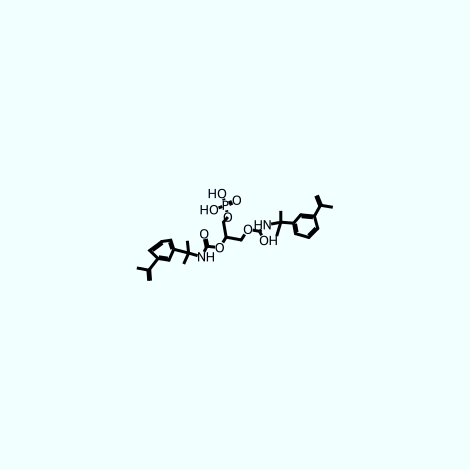 C=C(C)c1cccc(C(C)(C)NC(=O)OC(COC(O)NC(C)(C)c2cccc(C(=C)C)c2)COP(=O)(O)O)c1